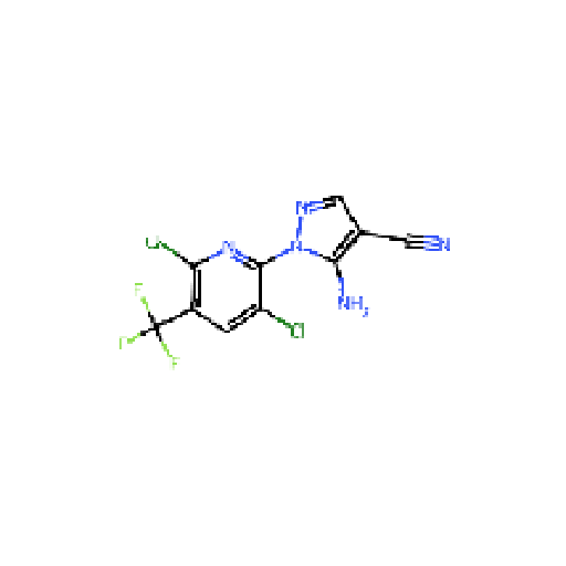 N#Cc1cnn(-c2nc(Cl)c(C(F)(F)F)cc2Cl)c1N